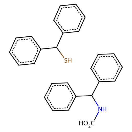 O=C(O)NC(c1ccccc1)c1ccccc1.SC(c1ccccc1)c1ccccc1